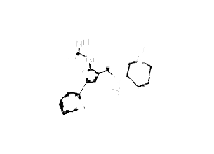 NC(=O)Nc1sc(-c2ccccn2)cc1C(=O)N[C@H]1CCCNC1